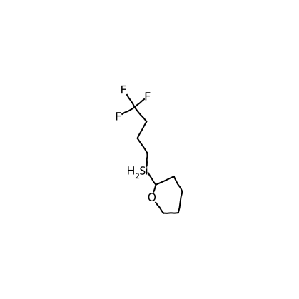 FC(F)(F)CCC[SiH2]C1CCCCO1